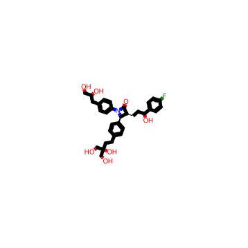 O=C1[C@H](CCC(O)c2ccc(F)cc2)[C@@H](c2ccc(CCC(O)(CO)CO)cc2)N1c1ccc(CC(O)CO)cc1